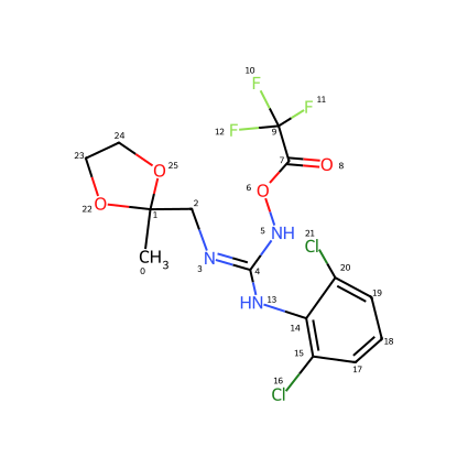 CC1(CN=C(NOC(=O)C(F)(F)F)Nc2c(Cl)cccc2Cl)OCCO1